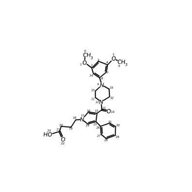 COc1cc(OC)cc(N2CCN(C(=O)c3cn(CCCC(=O)O)cc3-c3ccccc3)CC2)c1